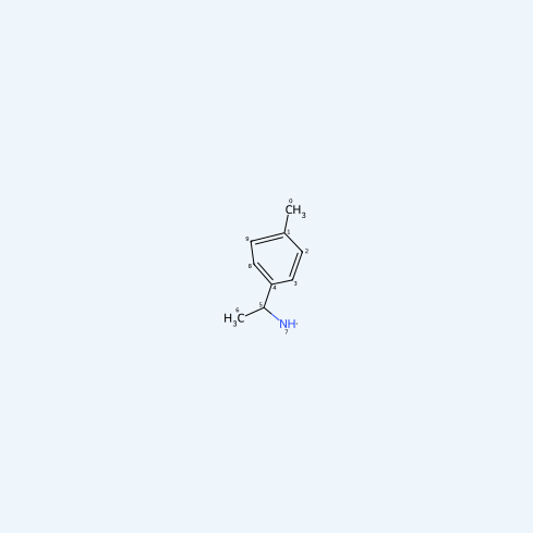 Cc1ccc(C(C)[NH])cc1